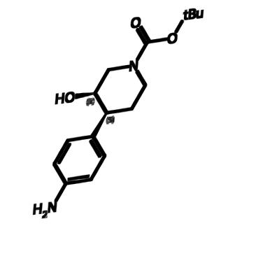 CC(C)(C)OC(=O)N1CC[C@@H](c2ccc(N)cc2)[C@@H](O)C1